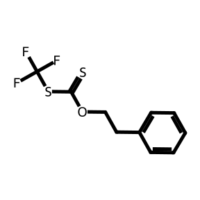 FC(F)(F)SC(=S)OCCc1ccccc1